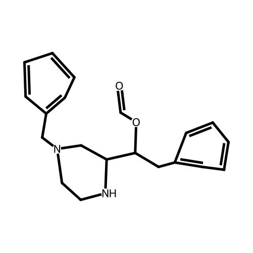 O=COC(Cc1ccccc1)C1CN(Cc2ccccc2)CCN1